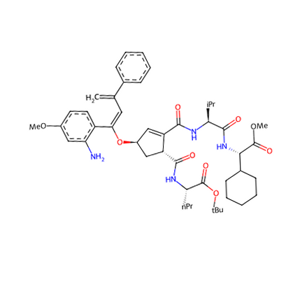 C=C(/C=C(/O[C@H]1C=C(C(=O)N[C@H](C(=O)N[C@H](C(=O)OC)C2CCCCC2)C(C)C)[C@H](C(=O)N[C@@H](CCC)C(=O)OC(C)(C)C)C1)c1ccc(OC)cc1N)c1ccccc1